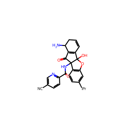 CC(C)c1ccc2c(c1)OC1(O)C3=C(C(=O)C21NC(=O)c1ccc(C#N)cn1)C(N)CC=C3